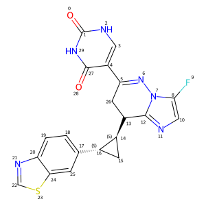 O=c1[nH]cc(C2=Nn3c(F)cnc3C([C@H]3C[C@@H]3c3ccc4ncsc4c3)C2)c(=O)[nH]1